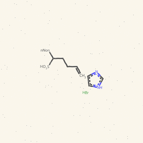 Br.C=CCCC(CCCCCCCCC)S(=O)(=O)O.c1c[nH]cn1